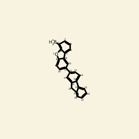 Bc1cccc2c1oc1ccc(-c3ccc4c(c3)Cc3ccccc3-4)cc12